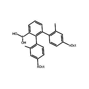 CCCCCCCCc1ccc(-c2cccc(P(O)O)c2-c2ccc(CCCCCCCC)cc2C)c(C)c1